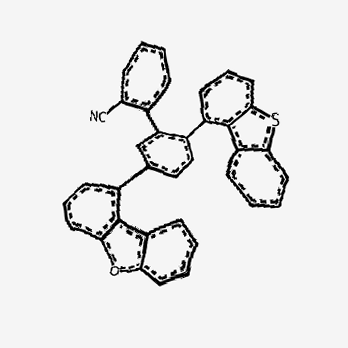 N#Cc1ccccc1-c1cc(-c2cccc3oc4ccccc4c23)ccc1-c1cccc2sc3ccccc3c12